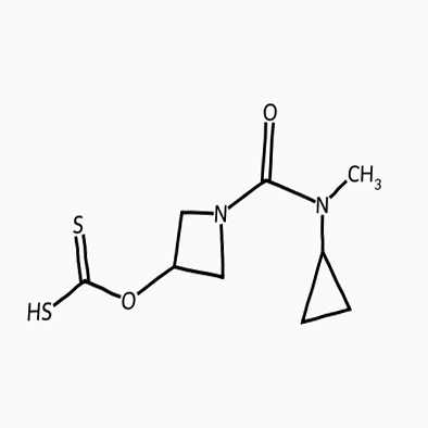 CN(C(=O)N1CC(OC(=S)S)C1)C1CC1